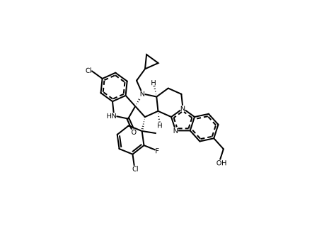 CC1([C@H]2[C@@H]3c4nc5cc(CO)ccc5n4CC[C@@H]3N(CC3CC3)[C@@]23C(=O)Nc2cc(Cl)ccc23)CC=CC(Cl)=C1F